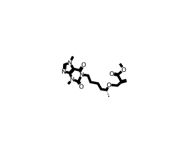 C=C(CO[C@H](C)CCCCn1c(=O)c2c(ncn2C)n(C)c1=O)C(=O)OC